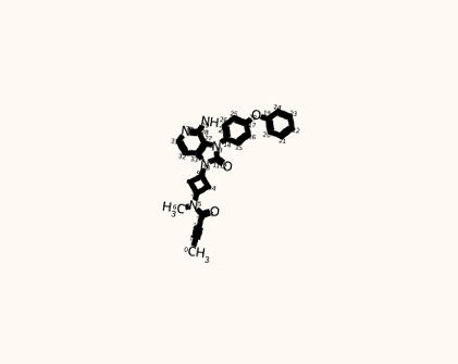 CC#CC(=O)N(C)C1CC(n2c(=O)n(-c3ccc(Oc4ccccc4)cc3)c3c(N)nccc32)C1